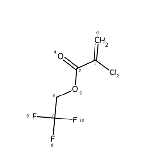 C=C(Cl)C(=O)OCC(F)(F)F